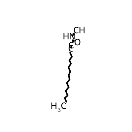 C#CNC(=O)CCCCCCCCCCCCCCCCC